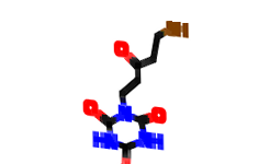 O=C(CCS)CCn1c(=O)[nH]c(=O)[nH]c1=O